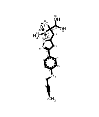 CC#CCOc1ccc(C2=NOC(CC(C)(C(O)O)S(C)(=O)=O)C2)cc1